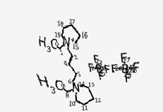 CC[N+]1(CCCC[N+]2(CC)CCCCC2)CCCCC1.F[B-](F)(F)F.F[B-](F)(F)F